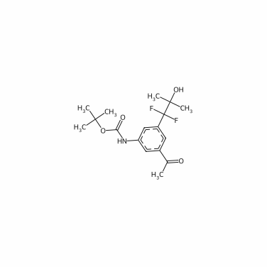 CC(=O)c1cc(NC(=O)OC(C)(C)C)cc(C(F)(F)C(C)(C)O)c1